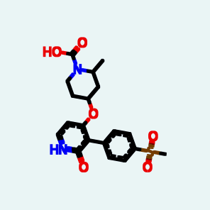 CC1CC(Oc2cc[nH]c(=O)c2-c2ccc(S(C)(=O)=O)cc2)CCN1C(=O)O